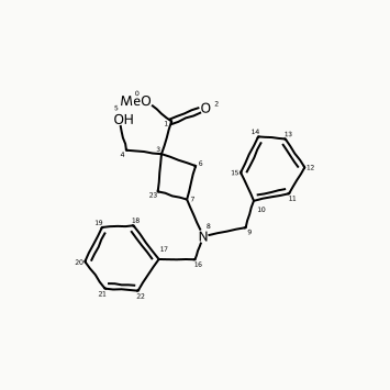 COC(=O)C1(CO)CC(N(Cc2ccccc2)Cc2ccccc2)C1